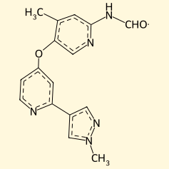 Cc1cc(N[C]=O)ncc1Oc1ccnc(-c2cnn(C)c2)c1